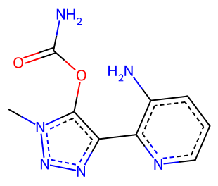 Cn1nnc(-c2ncccc2N)c1OC(N)=O